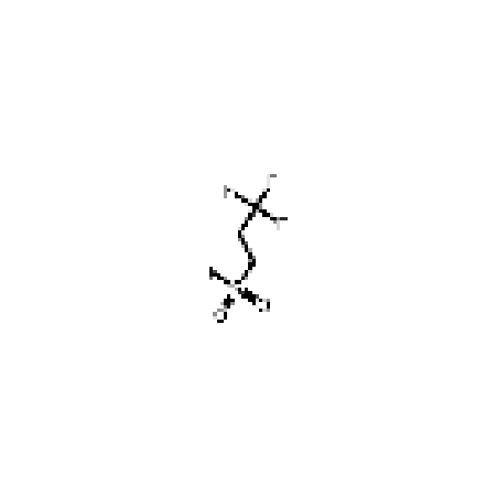 O=S(=O)(I)CCC(F)(F)F